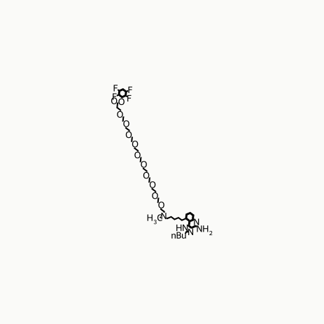 CCCCc1nc2c(N)nc3cccc(CCCCCN(C)CCOCCOCCOCCOCCOCCOCCOCCOCCOCCOCCC(=O)Oc4c(F)c(F)cc(F)c4F)c3c2[nH]1